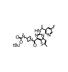 Cc1cc2nc(NC(C)c3cncc(F)c3)nc(C(=O)N3CC(N(C)C(=O)OC(C)(C)C)C3)c2s1